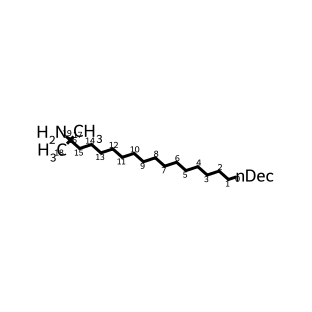 CCCCCCCCCCCCCCCCCCCCCCCCCC(C)(C)N